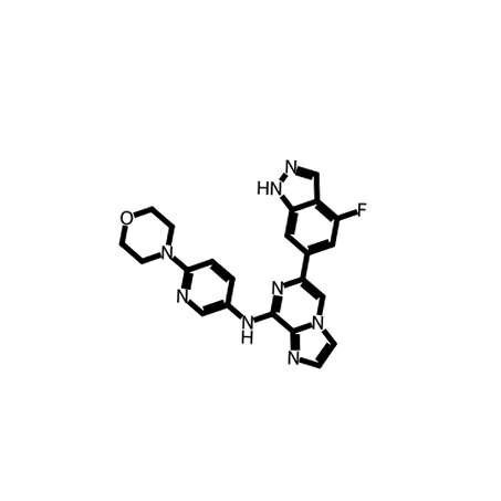 Fc1cc(-c2cn3ccnc3c(Nc3ccc(N4CCOCC4)nc3)n2)cc2[nH]ncc12